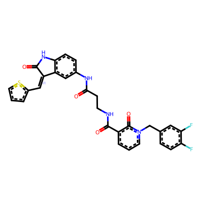 O=C(CCNC(=O)c1cccn(Cc2ccc(F)c(F)c2)c1=O)Nc1ccc2c(c1)/C(=C/c1cccs1)C(=O)N2